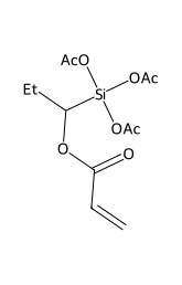 C=CC(=O)OC(CC)[Si](OC(C)=O)(OC(C)=O)OC(C)=O